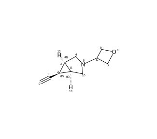 C#C[C@H]1[C@H]2CN(C3COC3)C[C@@H]12